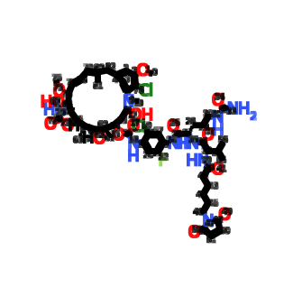 COc1cc2cc(c1Cl)N(C)C(O)C[C@H](OC(=O)Nc1cc(F)c(NC(=O)[C@H](CCCNC(N)=O)NC(=O)[C@@H](NC(=O)CCCCCN3C(=O)C=CC3=O)C(C)C)cc1Cl)[C@]1(C)O[C@H]1[C@H](C)[C@@H]1C[C@@](O)(NC(=O)O1)[C@H](OC)/C=C/C=C(\C)C2